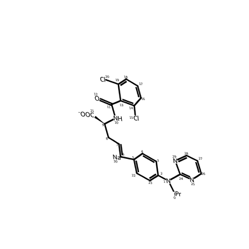 CC(C)N(c1ccc(/C=C/C[C@H](NC(=O)c2c(Cl)cccc2Cl)C(=O)[O-])cc1)c1ncccn1.[Na+]